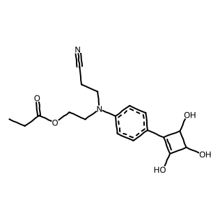 CCC(=O)OCCN(CCC#N)c1ccc(C2=C(O)C(O)C2O)cc1